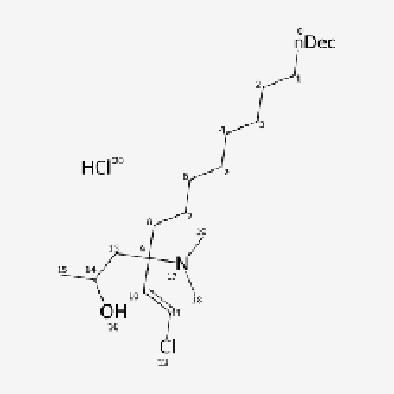 CCCCCCCCCCCCCCCCCCC(C=CCl)(CC(C)O)N(C)C.Cl